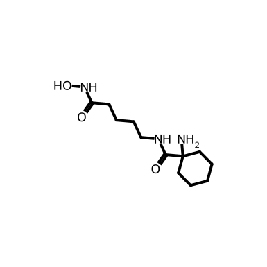 NC1(C(=O)NCCCCC(=O)NO)CCCCC1